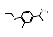 CCSc1ccc(C(C)N)cc1C